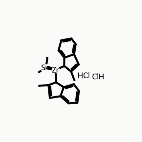 CC1=Cc2ccccc2[CH]1[Zr]([CH]1C(C)=Cc2ccccc21)=[Si](C)C.Cl.Cl